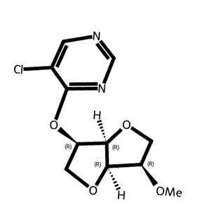 CO[C@@H]1CO[C@H]2[C@@H]1OC[C@H]2Oc1ncncc1Cl